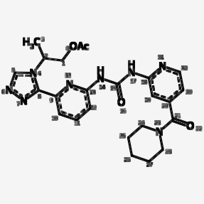 CC(=O)OCC(C)n1cnnc1-c1cccc(NC(=O)Nc2cc(C(=O)N3CCCCC3)ccn2)n1